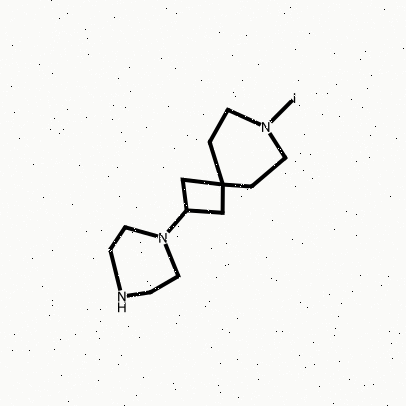 IN1CCC2(CC1)CC(N1CCNCC1)C2